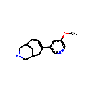 COc1cncc(C2=CCC3CNCC(C2)C3)c1